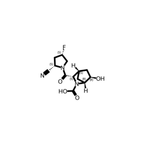 N#C[C@@H]1C[C@H](F)CN1C(=O)[C@@H]1[C@@H]2C[C@@H](O)[C@@H](C2)N1C(=O)O